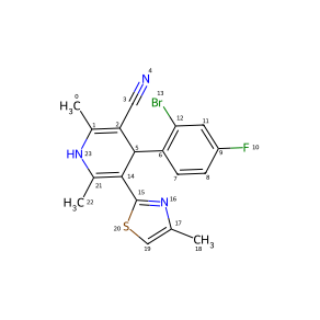 CC1=C(C#N)C(c2ccc(F)cc2Br)C(c2nc(C)cs2)=C(C)N1